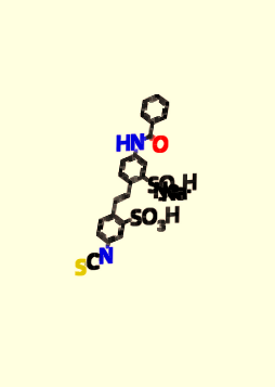 O=C(Nc1ccc(C=Cc2ccc(N=C=S)cc2S(=O)(=O)O)c(S(=O)(=O)O)c1)c1ccccc1.[Na].[Na]